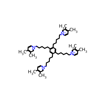 Cc1cc[n+](CCCCCc2cc(CCCCC[n+]3ccc(C)c(C)c3)c(CCCCC[n+]3ccc(C)c(C)c3)cc2CCCCC[n+]2ccc(C)c(C)c2)cc1C